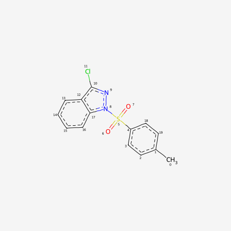 Cc1ccc(S(=O)(=O)n2nc(Cl)c3ccccc32)cc1